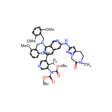 COc1cccc(OC)c1CN(Cc1c(OC)cccc1OC)c1nc(-c2cncc(N(C(=O)OC(C)(C)C)C(=O)OC(C)(C)C)c2C)cc2cc(Nc3cc4n(n3)CC(=O)N(C)CC4)ncc12